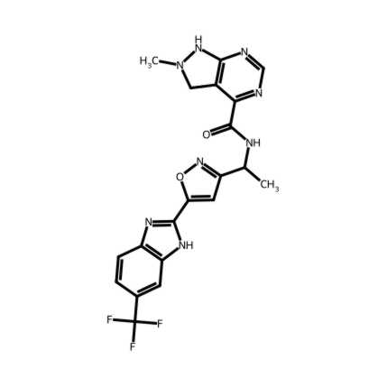 CC(NC(=O)c1ncnc2c1CN(C)N2)c1cc(-c2nc3ccc(C(F)(F)F)cc3[nH]2)on1